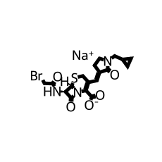 O=C(CBr)N[C@@H]1C(=O)N2C(C(=O)[O-])=C(/C=C3\CCN(CC4CC4)C3=O)CS[C@H]12.[Na+]